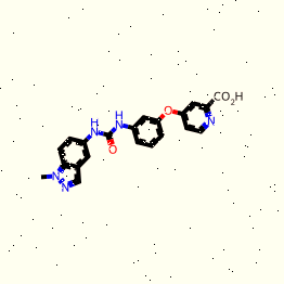 Cn1ncc2cc(NC(=O)Nc3cccc(Oc4ccnc(C(=O)O)c4)c3)ccc21